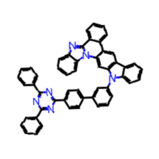 c1ccc(-c2nc(-c3ccccc3)nc(-c3ccc(-c4cccc(-n5c6ccccc6c6cc7c8ccccc8c8nc9ccccc9n8c7cc65)c4)cc3)n2)cc1